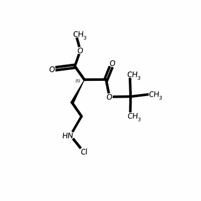 COC(=O)[C@H](CCNCl)C(=O)OC(C)(C)C